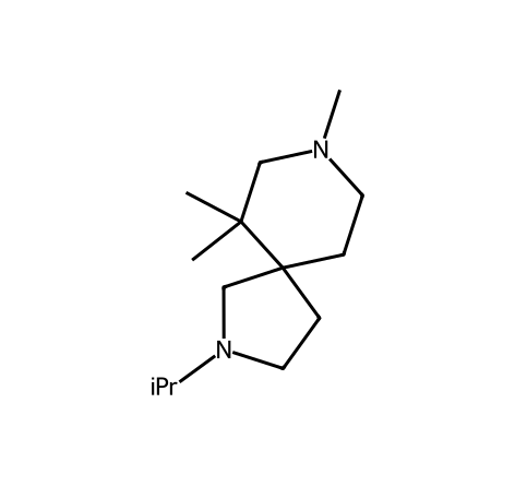 CC(C)N1CCC2(CCN(C)CC2(C)C)C1